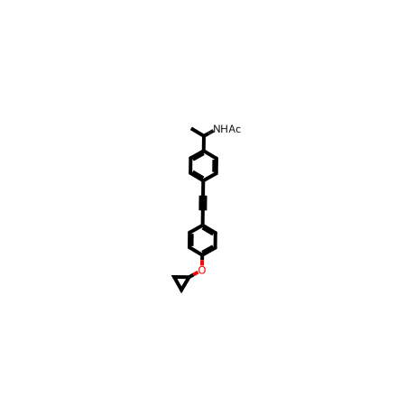 CC(=O)NC(C)c1ccc(C#Cc2ccc(OC3CC3)cc2)cc1